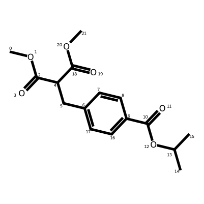 COC(=O)C(Cc1ccc(C(=O)OC(C)C)cc1)C(=O)OC